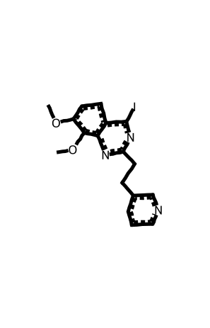 COc1ccc2c(I)nc(CCc3cccnc3)nc2c1OC